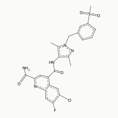 Cc1nn(Cc2cccc(S(C)(=O)=O)c2)c(C)c1NC(=O)c1cc(C(N)=O)nc2cc(F)c(Cl)cc12